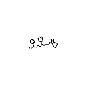 CCC(CCCC(CCCC(C)c1ccccc1)c1ccncc1)c1ccccc1